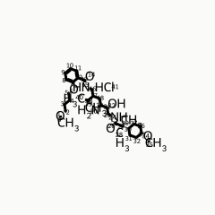 COCCCCOc1ccccc1C(=O)NCC(CC(N)C(O)CNC(=O)C(C)(C)[C@H]1CC[C@@H](OC)CC1)C(C)C.Cl